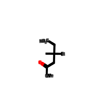 CCC(C)(CC(=O)O)CC(=O)OC